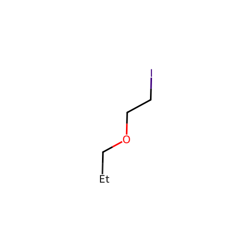 [CH2]CCOCCI